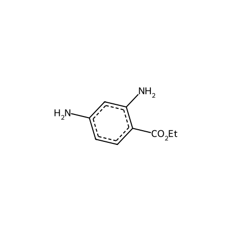 CCOC(=O)c1ccc(N)cc1N